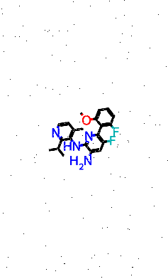 COc1cccc(F)c1-c1nc(Nc2c(C)ccnc2C(C)C)c(N)cc1F